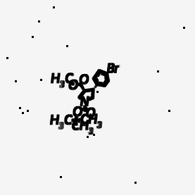 COC(=O)[C@@H]1CN(C(=O)OC(C)(C)C)C[C@H]1c1ccc(Br)cc1